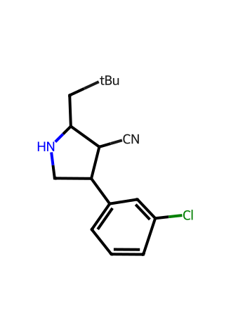 CC(C)(C)CC1NCC(c2cccc(Cl)c2)C1C#N